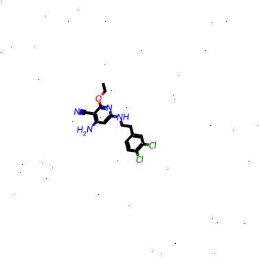 CCOc1nc(NCCc2ccc(Cl)c(Cl)c2)cc(N)c1C#N